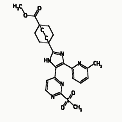 COC(=O)C12CCC(c3nc(-c4cccc(C)n4)c(-c4ccnc(S(C)(=O)=O)n4)[nH]3)(CC1)CC2